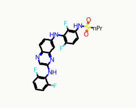 CCCS(=O)(=O)Nc1ccc(F)c(Nc2ccc3ncc(Nc4c(F)cccc4F)nc3c2)c1F